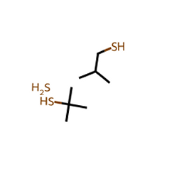 CC(C)(C)S.CC(C)CS.S